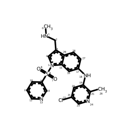 CNCc1cn(S(=O)(=O)c2cccnc2)c2cc(Nc3cc(Cl)cnc3C)ccc12